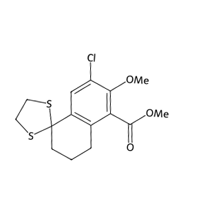 COC(=O)c1c2c(cc(Cl)c1OC)C1(CCC2)SCCS1